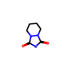 O=C1[N]C(=O)N2CCCCN12